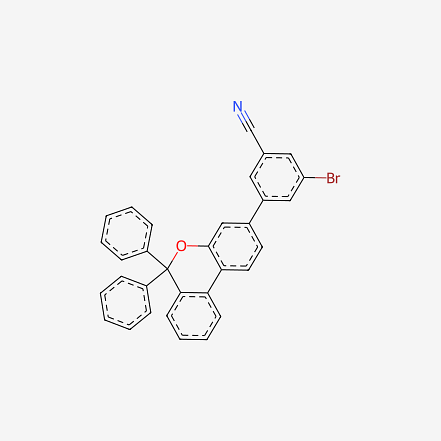 N#Cc1cc(Br)cc(-c2ccc3c(c2)OC(c2ccccc2)(c2ccccc2)c2ccccc2-3)c1